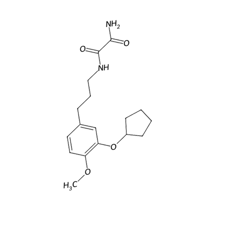 COc1ccc(CCCNC(=O)C(N)=O)cc1OC1CCCC1